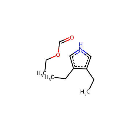 CCOC=O.CCc1c[nH]cc1CC